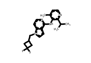 Cc1ccnc(C(C)C)c1Nc1nccc2c1ccn2CC1CC(F)(F)C1